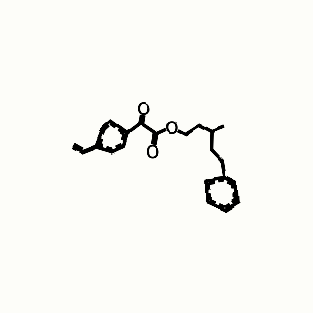 C=Cc1ccc(C(=O)C(=O)OCCC(C)CCc2ccccc2)cc1